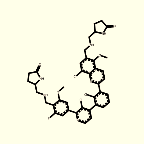 COc1cc(-c2nccc(-c3cccc(-c4ccc5c(OC)c(CNCC6CCC(=O)N6)cc(Cl)c5n4)c3Cl)c2Cl)cc(F)c1CNCC1CCC(=O)N1